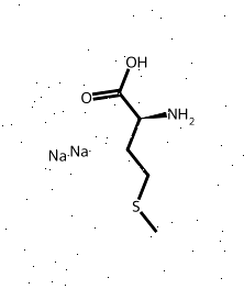 CSCC[C@H](N)C(=O)O.[Na].[Na]